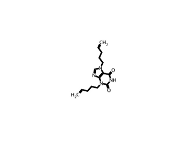 C=CCCCn1cnc2c1c(=O)[nH]c(=O)n2CCCC=C